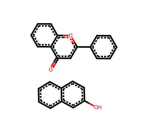 O=c1cc(-c2ccccc2)oc2ccccc12.Oc1ccc2ccccc2c1